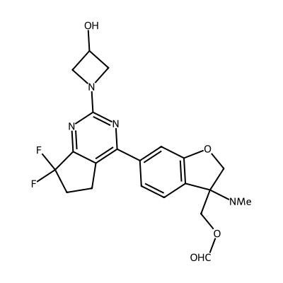 CNC1(COC=O)COc2cc(-c3nc(N4CC(O)C4)nc4c3CCC4(F)F)ccc21